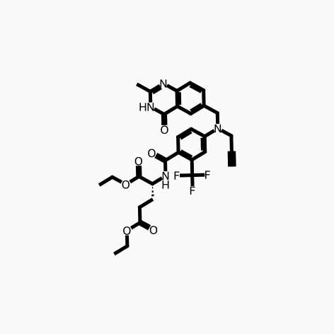 C#CCN(Cc1ccc2nc(C)[nH]c(=O)c2c1)c1ccc(C(=O)N[C@H](CCC(=O)OCC)C(=O)OCC)c(C(F)(F)F)c1